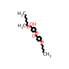 CCCCCCOc1ccc(C(=O)Oc2ccc(C(O)OC(C)CCCCCC)cc2)cc1